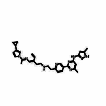 C=C/C(=C\N=C(/C)n1ccc(C2CC2)n1)CCNCCc1ccc(-c2nc(C)cc(Nc3cc(C)[nH]n3)n2)cn1